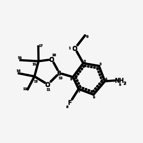 COc1cc(N)cc(F)c1B1OC(C)(C)C(C)(C)O1